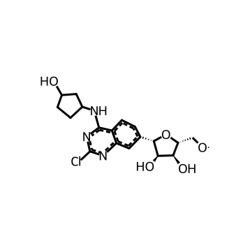 [O]C[C@H]1O[C@@H](c2ccc3c(NC4CCC(O)C4)nc(Cl)nc3c2)[C@H](O)[C@@H]1O